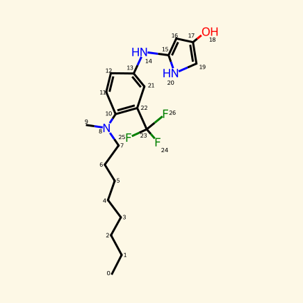 CCCCCCCCN(C)c1ccc(Nc2cc(O)c[nH]2)cc1C(F)(F)F